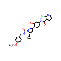 COc1ccc(CNC(=O)n2nc(-c3ccc(NC(=O)c4cccnc4Cl)cc3O)cc2C2CC2)cc1